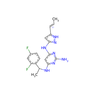 C/C=C/c1cc(Nc2cc(NC(C)c3ccc(F)cc3F)nc(N)n2)n[nH]1